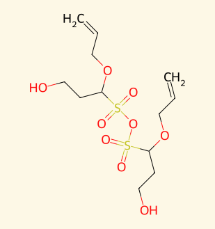 C=CCOC(CCO)S(=O)(=O)OS(=O)(=O)C(CCO)OCC=C